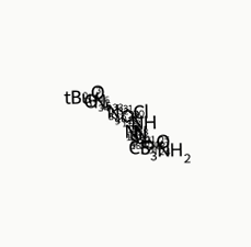 CC(C)(C)OC(=O)N1CC(N2CCc3cc(Nc4ncc(C(F)(F)F)c(-c5cc(C(N)=O)cs5)n4)c(Cl)cc3C2)C1